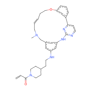 C=CC(=O)N1CCC(CCNc2cc3cc(c2)Nc2nccc(n2)-c2cccc(c2)OCC/C=C/CN(C)C3)CC1